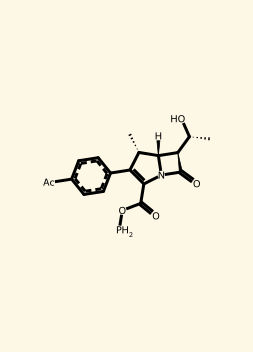 CC(=O)c1ccc(C2=C(C(=O)OP)N3C(=O)[C@H]([C@@H](C)O)[C@H]3[C@H]2C)cc1